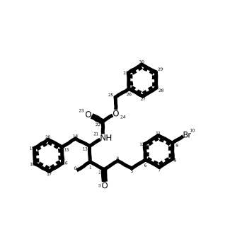 CC(C(=O)CCc1ccc(Br)cc1)C(Cc1ccccc1)NC(=O)OCc1ccccc1